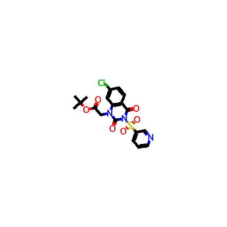 CC(C)(C)OC(=O)Cn1c(=O)n(S(=O)(=O)c2cccnc2)c(=O)c2ccc(Cl)cc21